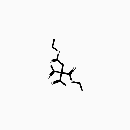 CCOC(=O)CC(C(C)=O)(C(C)=O)C(=O)OCC